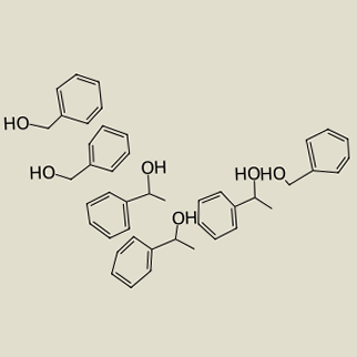 CC(O)c1ccccc1.CC(O)c1ccccc1.CC(O)c1ccccc1.OCc1ccccc1.OCc1ccccc1.OCc1ccccc1